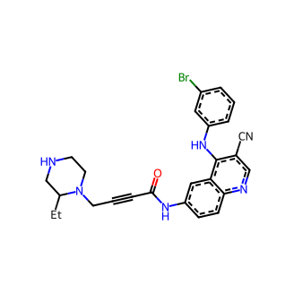 CCC1CNCCN1CC#CC(=O)Nc1ccc2ncc(C#N)c(Nc3cccc(Br)c3)c2c1